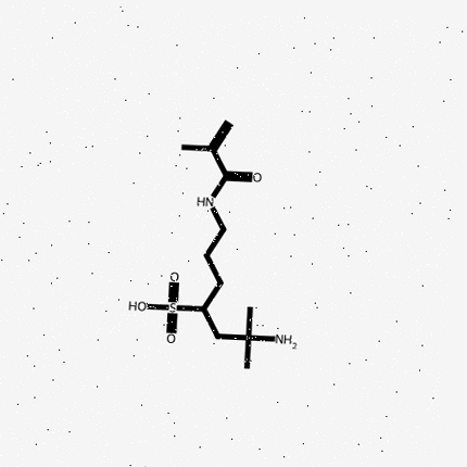 C=C(C)C(=O)NCCCC(CC(C)(C)N)S(=O)(=O)O